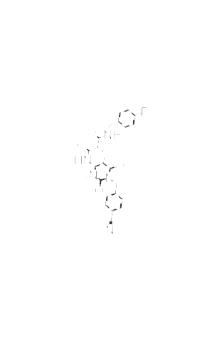 Cn1c2c(c(=O)n(Cc3ccc(C#N)cc3)c1=O)SC(C(=O)NCc1ccc(F)cc1)C(=O)N2